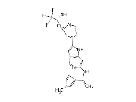 C=C(Nc1cc2[nH]c(-c3ccnc(O[C@@H](S)C(F)(F)F)c3)cc2cn1)C1=CC(C)C=C1